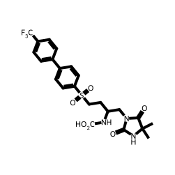 CC1(C)NC(=O)N(CC(CCS(=O)(=O)c2ccc(-c3ccc(C(F)(F)F)cc3)cc2)NC(=O)O)C1=O